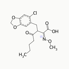 CCCCC(=O)C(Cc1cc2c(cc1Cl)OCO2)/C(=N/OC)C(=O)O